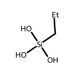 CCC[Si](O)(O)O